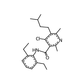 CCc1cccc(CC)c1NC(=O)c1c(C)nc(C)c(CCC(C)C)c1Cl